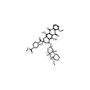 COC(=O)N1CCN(C(=O)[C@]2(O)Cc3c(O)c4c(c(O)c3[C@@H](O[C@H]3C[C@H]5[C@H](O[C@@H]6[C@@H](OC)OCCN65)[C@H](C)O3)C2)C(=O)c2c(OC)cccc2C4=O)CC1